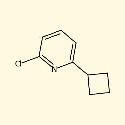 Clc1[c]ccc(C2CCC2)n1